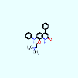 CN(C)CCOc1c(Nc2ccccc2)ccc2c(-c3ccccc3)cc(=O)[nH]c12